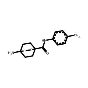 Cc1ccc(NC(=O)C23CCC(N)(CC2)CC3)cc1